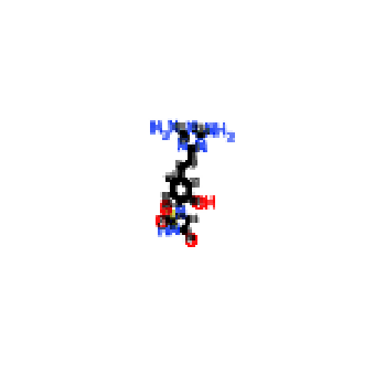 Nc1nc(N)nc(CCc2ccc(N3CC(=O)NS3(=O)=O)c(O)c2)n1